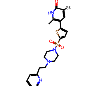 CCc1cc(-c2ccc(S(=O)(=O)N3CCN(CCc4ccccn4)CC3)s2)c(C)[nH]c1=O